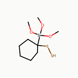 CO[Si](OC)(OC)C1(SS)CCCCC1